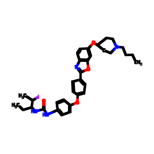 CCCCN1CCC(Oc2ccc3nc(-c4ccc(Oc5ccc(NC(=O)NC(CC)C(C)I)cc5)cc4)oc3c2)CC1